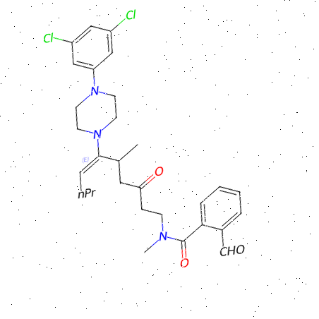 CCC/C=C(\C(C)CC(=O)CCN(C)C(=O)c1ccccc1C=O)N1CCN(c2cc(Cl)cc(Cl)c2)CC1